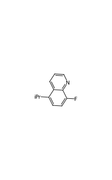 CC(C)c1ccc(F)c2ncccc12